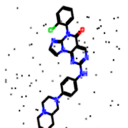 O=c1c2cnc(Nc3ccc(N4CCN5CCCCC5C4)cc3)nc2n2ccnc2n1-c1ccccc1Cl